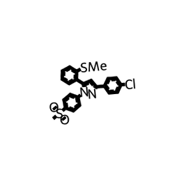 CSc1ccccc1-c1cc(-c2ccc(Cl)cc2)nn1-c1ccc(S(C)(=O)=O)cc1